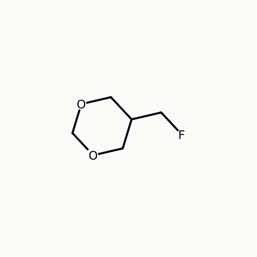 FCC1COCOC1